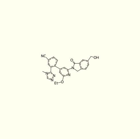 CCOc1cc(-c2ccc(C#N)cc2-c2nncn2C)cc(N2Cc3ccc(CO)cc3C2=O)n1